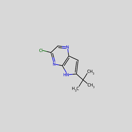 CC(C)(C)c1cc2ncc(Cl)nc2[nH]1